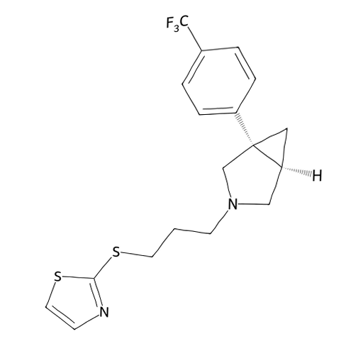 FC(F)(F)c1ccc([C@]23C[C@H]2CN(CCCSc2nccs2)C3)cc1